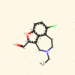 CCN1CCc2c(Cl)ccc3oc(C=O)c(c23)C1